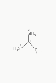 CC([SiH3])[SiH3]